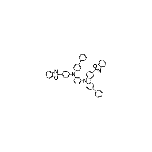 c1ccc(-c2ccc(N(c3ccc(-c4nc5ccccc5o4)cc3)c3cccc(-n4c5ccc(-c6ccccc6)cc5c5cc(-c6nc7ccccc7o6)ccc54)c3)cc2)cc1